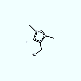 Cn1c[n+](C)cc1CC#N.[I-]